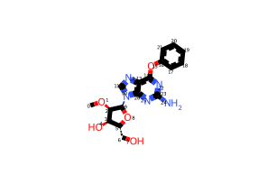 CO[C@@H]1[C@H](O)[C@@H](CO)O[C@H]1n1cnc2c(Oc3ccccc3)nc(N)nc21